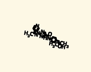 Cc1nn(-c2ncc(C(=O)NC3CCC(CC(C)(C)O)CC3)cn2)c2cnccc12